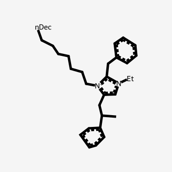 CCCCCCCCCCCCCCCCC[n+]1c(CC(C)c2ccccc2)cn(CC)c1Cc1ccccc1